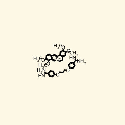 COc1cc2c(cc1OC)-c1cc3ccc(OC)c(OC)c3c[n+]1CC2.N=C(N)c1ccc(OCCCOc2ccc(C(=N)N)cc2)cc1